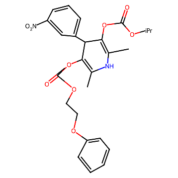 CC1=C(OC(=O)OCCOc2ccccc2)C(c2cccc([N+](=O)[O-])c2)C(OC(=O)OC(C)C)=C(C)N1